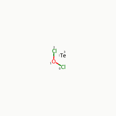 ClOCl.[Te]